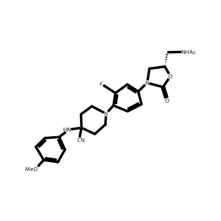 COc1ccc(NC2(C#N)CCN(c3ccc(N4C[C@H](CNC(C)=O)OC4=O)cc3F)CC2)cc1